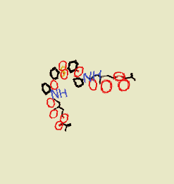 C=C(C)C(=O)OCCC(C=O)CC(=O)Nc1ccccc1Oc1cccc(S(=O)(=O)c2cccc(Oc3ccccc3NC(=O)CC(C=O)CCOC(=O)C(=C)C)c2)c1